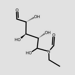 CCN(C=O)C(O)[C@@H](O)[C@@H](O)[C@@H](O)C=O